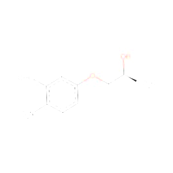 O=Cc1cc(OC[C@@H](O)C(=O)O)ccc1[N+](=O)[O-]